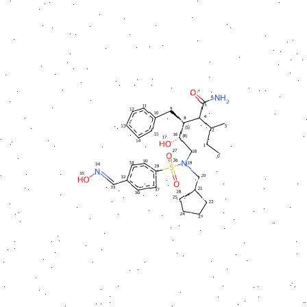 CCC(C)C(C(N)=O)[C@H](Cc1ccccc1)[C@@H](O)CN(CC1CCCC1)S(=O)(=O)c1ccc(C=NO)cc1